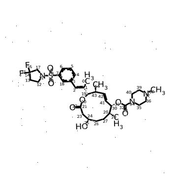 C/C(=C\c1cccc(S(=O)(=O)N2CCC(F)(F)C2)c1)[C@H]1OC(=O)C[C@H](O)CC[C@H](C)[C@@H](OC(=O)N2CCN(C)CC2)/C=C/[C@@H]1C